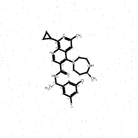 Cc1cc2c(N3CCN[C@@H](C)CC3)c(C(=O)N[C@@H](C)c3cc(F)cc(Cl)c3)cnc2c(C2CC2)n1